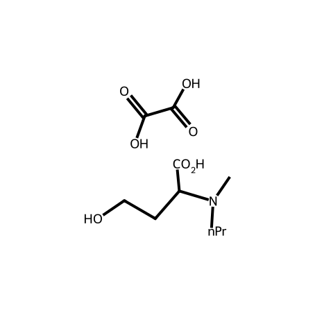 CCCN(C)C(CCO)C(=O)O.O=C(O)C(=O)O